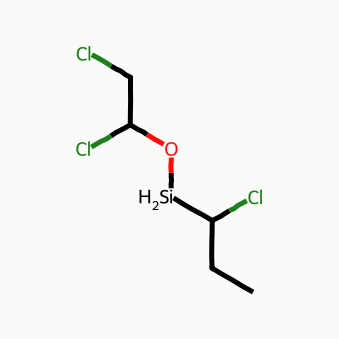 CCC(Cl)[SiH2]OC(Cl)CCl